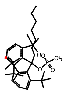 CCCCCCCC(OP(=O)(O)O)(c1c(C(C)(C)C)cccc1C(C)(C)C)c1c(C(C)(C)C)cccc1C(C)(C)C